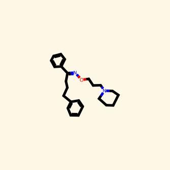 c1ccc(CCCC(=NOCCCN2CCCCC2)c2ccccc2)cc1